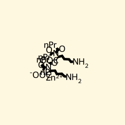 CCCC(=O)N(C(=O)CCC)[C@@H](CCCCN)C(=O)[O-].CCCC(=O)N(C(=O)CCC)[C@@H](CCCCN)C(=O)[O-].[Zn+2]